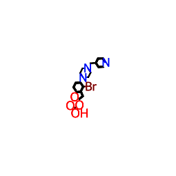 O=C(O)Oc1cc2c(Br)c(N3CCN(Cc4ccncc4)CC3)ccc2o1